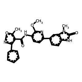 COc1nc(-c2ccc3[nH]c(=O)n(C)c3c2)ccc1NC(=O)c1c(-c2ccccc2)noc1C